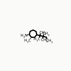 CCC(C)(C)C(C)(C)C1CCC[C@H](N)[C@@H](C)C1